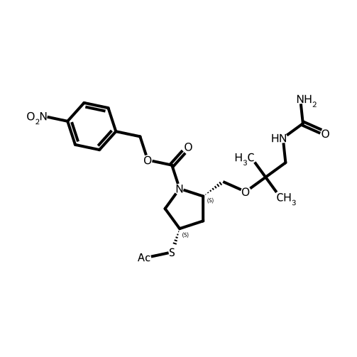 CC(=O)S[C@H]1C[C@@H](COC(C)(C)CNC(N)=O)N(C(=O)OCc2ccc([N+](=O)[O-])cc2)C1